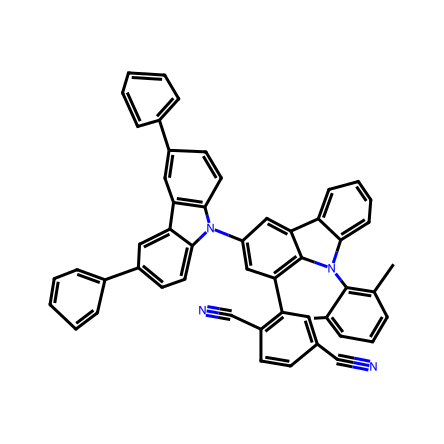 Cc1cccc(C)c1-n1c2ccccc2c2cc(-n3c4ccc(-c5ccccc5)cc4c4cc(-c5ccccc5)ccc43)cc(-c3cc(C#N)ccc3C#N)c21